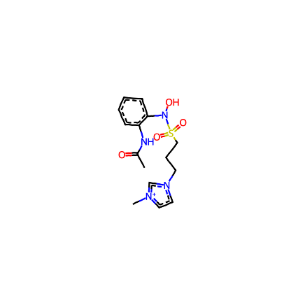 CC(=O)Nc1ccccc1N(O)S(=O)(=O)CCCn1cc[n+](C)c1